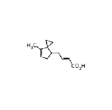 CC1=CCC(C/C=C/C(=O)O)C12CC2